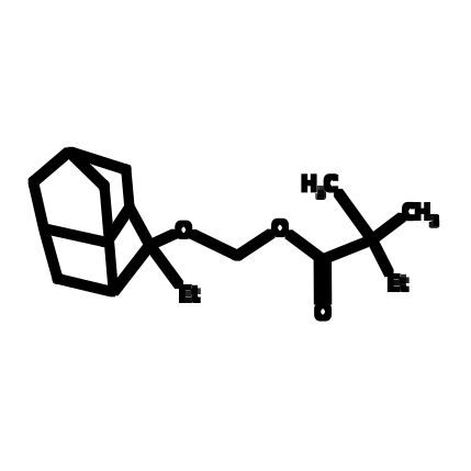 CCC(C)(C)C(=O)OCOC1(CC)C2CC3CC(C2)CC1C3